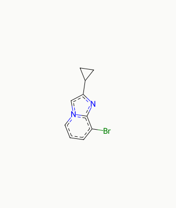 Brc1cccn2cc(C3CC3)nc12